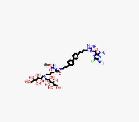 CC(C)(C)OC(=O)N[C@@H](CCCCN(C[C@H](O)[C@@H](O)[C@H](O)[C@H](O)CO)C[C@H](O)[C@@H](O)[C@H](O)[C@H](O)CO)C(=O)NCCCc1ccc(-c2ccc(CCCCNC(=N)NC(=O)c3nc(Cl)c(N)nc3N)cc2)cc1